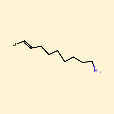 CC/C=C/CCCCCCCN